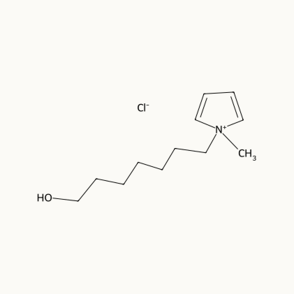 C[N+]1(CCCCCCCO)C=CC=C1.[Cl-]